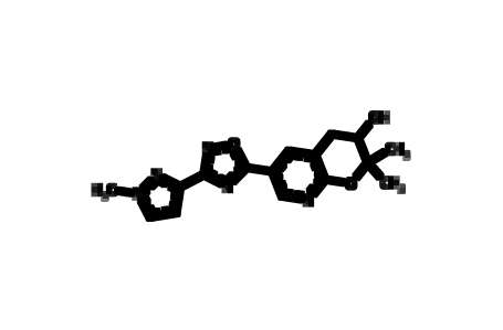 Cn1ccc(-c2noc(-c3cnc4c(c3)CC(O)C(C)(C)O4)n2)n1